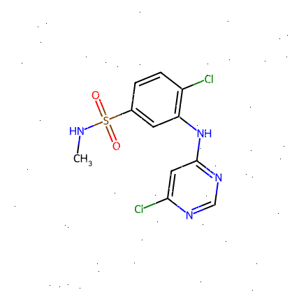 CNS(=O)(=O)c1ccc(Cl)c(Nc2cc(Cl)ncn2)c1